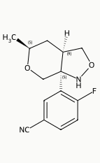 C[C@H]1C[C@H]2CON[C@@]2(c2cc(C#N)ccc2F)CO1